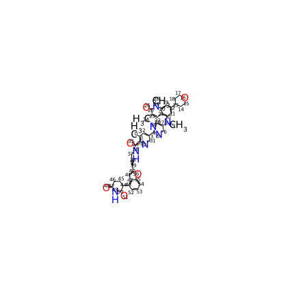 Cc1cc(-c2ncc(N(C)c3cc(C4CCOCC4)cc4c3cc(C)c(=O)n4C)cn2)cnc1C(=O)NCC#Cc1cc2c(C3CCC(=O)NC3=O)cccc2o1